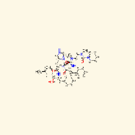 CC(C)CC[C@H](O)[C@H](CC1CCCCC1)NC(=O)[C@H](Cc1c[nH]cn1)N(C)C(=O)[C@H](Cc1ccccc1)NC(=O)N(C)CCN(C)C(=O)N1CCCCC1